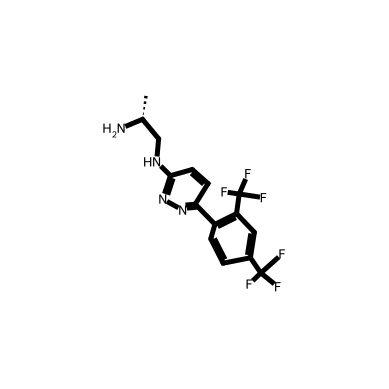 C[C@@H](N)CNc1ccc(-c2ccc(C(F)(F)F)cc2C(F)(F)F)nn1